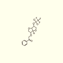 O=C(CO[C@H]1COC2[C@@H](OS(=O)(=O)C(F)(F)F)CO[C@@H]21)c1ccccc1